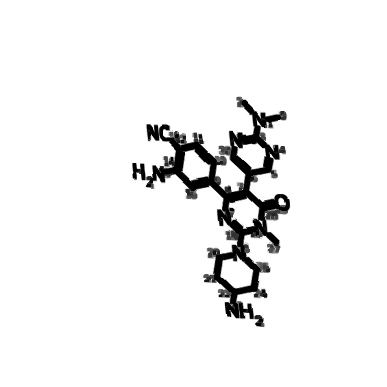 CN(C)c1ncc(-c2c(-c3ccc(C#N)c(N)c3)nc(N3CCC(N)CC3)n(C)c2=O)cn1